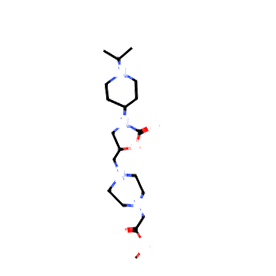 COC(=O)CN1CCN(CC2CN(C3CCN(C(C)C)CC3)C(=O)O2)CC1